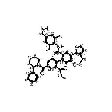 COC(=O)c1nc(C(=O)N2CCCCC2c2ccccc2)ccc1-c1cc2c(cc1C(=O)Nc1c(C)cc(CN)cc1C)-c1sccc1CCO2